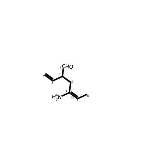 C=CC(C=O)C/C(N)=C\C